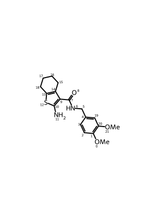 COc1ccc(CNC(=O)c2c(N)sc3c2CCCC3)cc1OC